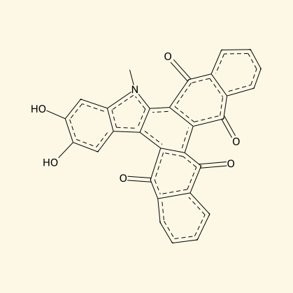 Cn1c2cc(O)c(O)cc2c2c3c(=O)c4ccccc4c(=O)c3c3c(=O)c4ccccc4c(=O)c3c21